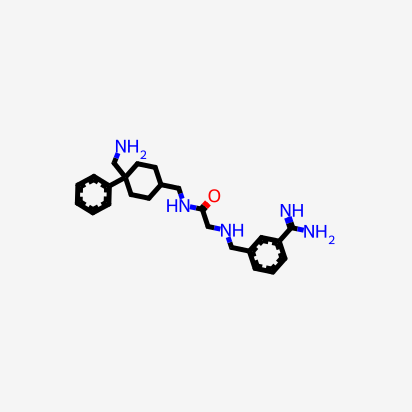 N=C(N)c1cccc(CNCC(=O)NCC2CCC(CN)(c3ccccc3)CC2)c1